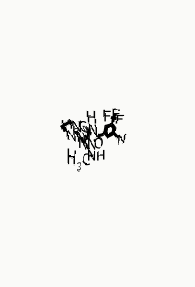 CNc1nc([C@H](C)NC(=O)c2cc(C#N)cc(C(F)(F)F)c2)n(-c2ncccn2)n1